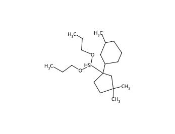 CCCO[SiH](OCCC)C1(C2CCCC(C)C2)CCC(C)(C)C1